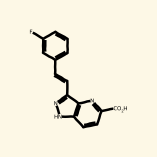 O=C(O)c1ccc2[nH]nc(/C=C/c3cccc(F)c3)c2n1